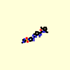 CCc1cccc(CC)c1NC(=O)c1nn(C)c2c1CCc1cnc(NC3CCN(S(=O)(=O)c4cn(C)cn4)CC3)nc1-2